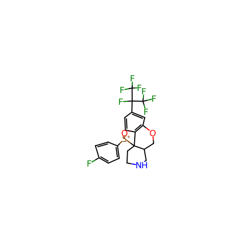 [O-][S+](c1ccc(F)cc1)C12CCNCC1COc1cc(C(F)(C(F)(F)F)C(F)(F)F)ccc12